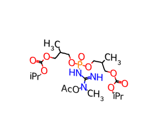 CC(=O)ON(C)C(=N)NP(=O)(OCC(C)COC(=O)OC(C)C)OCC(C)COC(=O)OC(C)C